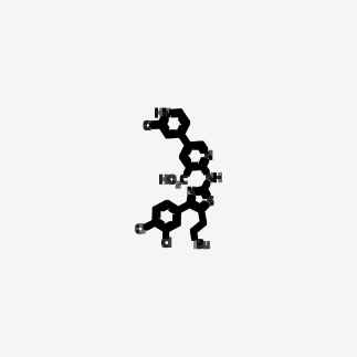 CCC(C)CCc1sc(Nc2ncc(-c3cc[nH]c(=O)c3)cc2C(=O)O)nc1-c1ccc(Cl)c(Cl)c1